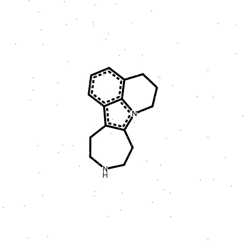 c1cc2c3c(c1)c1c(n3CCC2)CCNCC1